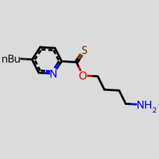 CCCCc1ccc(C(=S)OCCCCN)nc1